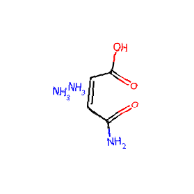 N.N.NC(=O)/C=C\C(=O)O